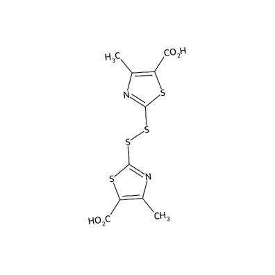 Cc1nc(SSc2nc(C)c(C(=O)O)s2)sc1C(=O)O